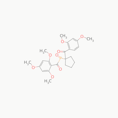 COc1ccc(C(=O)C2([P](=O)C(=O)c3c(OC)cc(OC)cc3OC)CCCC2)c(OC)c1